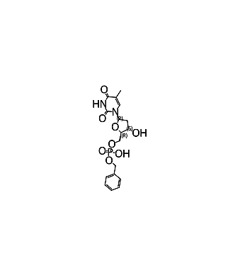 Cc1cn([C@H]2C[C@H](O)[C@@H](COP(=O)(O)OCc3ccccc3)O2)c(=O)[nH]c1=O